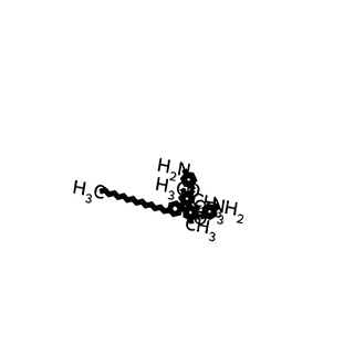 CCCCCCCCCCCCCCCC1CCC(c2cc(C)c(Oc3ccc(N)cc3)c(C)c2)(c2cc(C)c(Oc3ccc(N)cc3)c(C)c2)CC1